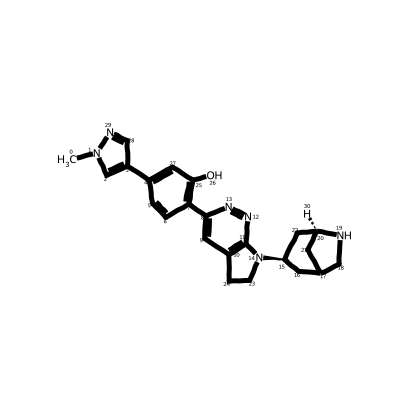 Cn1cc(-c2ccc(-c3cc4c(nn3)N([C@@H]3CC5CN[C@@H](C5)C3)CC4)c(O)c2)cn1